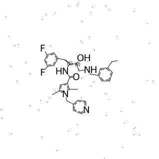 CCc1cccc(CNC[C@@H](O)[C@H](Cc2cc(F)cc(F)c2)NC(=O)c2cc(C)n(Cc3ccncc3)c2C)c1